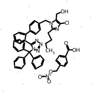 CCCCc1nc(Cl)c(CO)n1Cc1ccc(-c2ccccc2-c2nnnn2C(c2ccccc2)(c2ccccc2)c2ccccc2)cc1.O=C(O)c1ccc(CO[N+](=O)[O-])cc1